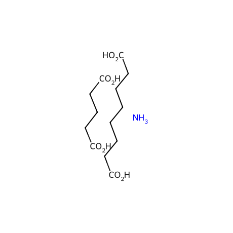 N.O=C(O)CCCC(=O)O.O=C(O)CCCCCCC(=O)O